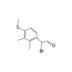 CSc1ccc(C(Br)C=O)c(C)c1C